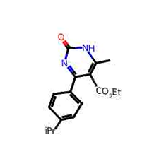 CCOC(=O)c1c(-c2ccc(C(C)C)cc2)nc(=O)[nH]c1C